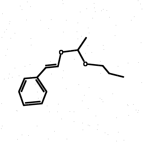 CCCOC(C)OC=Cc1ccccc1